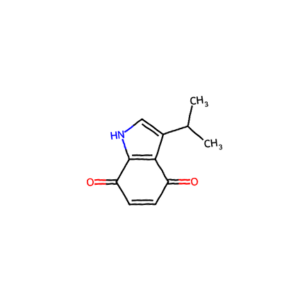 CC(C)c1c[nH]c2c1C(=O)C=CC2=O